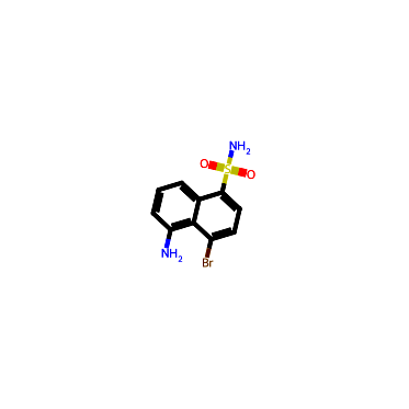 Nc1cccc2c(S(N)(=O)=O)ccc(Br)c12